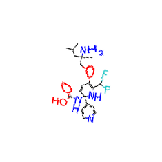 CC(C)CC(C)(N)COC1=C(C(F)F)NC(NC(=O)O)(c2ccncc2)C=C1